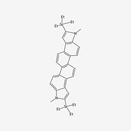 CC[Si](CC)(CC)c1cc2c3ccc4c(ccc5c4ccc4c5cc([Si](CC)(CC)CC)n4C)c3ccc2n1C